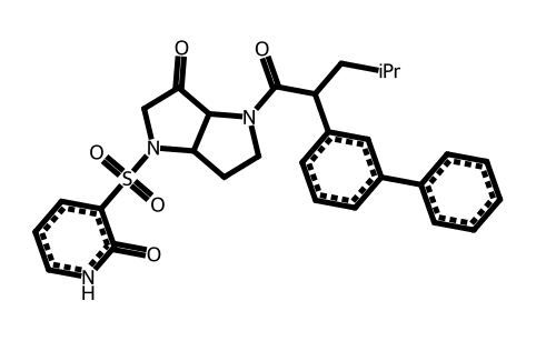 CC(C)CC(C(=O)N1CCC2C1C(=O)CN2S(=O)(=O)c1ccc[nH]c1=O)c1cccc(-c2ccccc2)c1